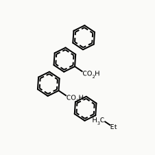 CCC.O=C(O)c1ccccc1.O=C(O)c1ccccc1.c1ccccc1.c1ccccc1